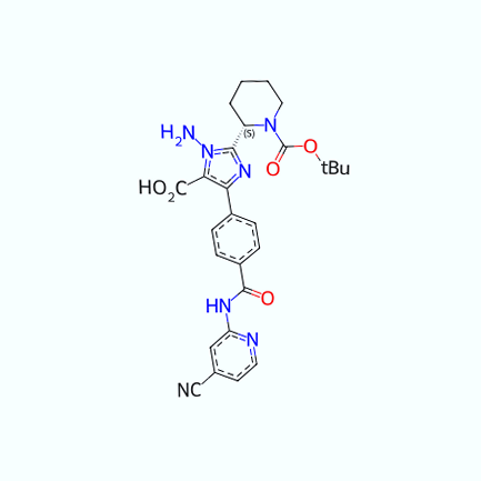 CC(C)(C)OC(=O)N1CCCC[C@H]1c1nc(-c2ccc(C(=O)Nc3cc(C#N)ccn3)cc2)c(C(=O)O)n1N